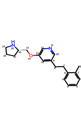 Cc1ccccc1CCc1cncc(OC[C@@H]2CCCN2)c1